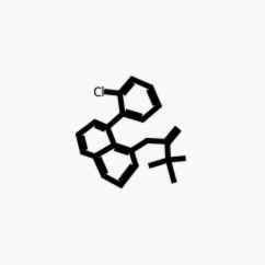 C=C(Cc1cccc2cccc(-c3ccccc3Cl)c12)C(C)(C)C